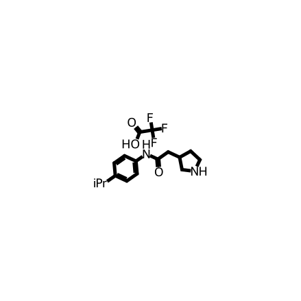 CC(C)c1ccc(NC(=O)CC2CCNC2)cc1.O=C(O)C(F)(F)F